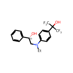 CCN(C[C@@H](O)c1ccccc1)c1ccc(C(O)(C(F)(F)F)C(F)(F)F)cc1